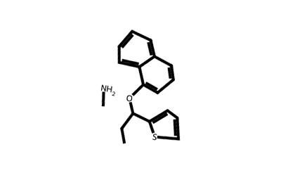 CCC(Oc1cccc2ccccc12)c1cccs1.CN